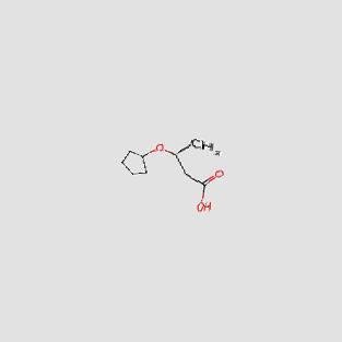 CC(CC(=O)O)OC1CCCC1